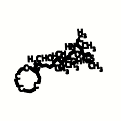 CCC(NC(=O)CC(O)C(C)(C)C(=O)C(C)C(O)C(C)CCCC(C)CC12CCCCCCCCCCCCCCC1C2)C(C)=Cc1csc(C)n1